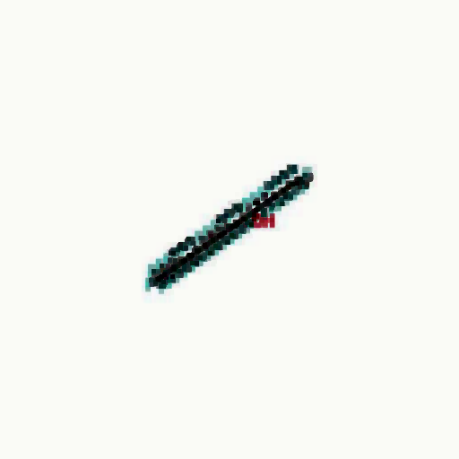 OC(F)(C(F)(F)C(F)(F)C(F)(F)C(F)(F)C(F)(F)C(F)(F)F)C(F)(F)C(F)(F)C(F)(F)C(F)(F)C(F)(F)C(F)(F)C(F)(F)C(F)(F)C(F)(F)C(F)(F)C(F)(F)C(F)(F)F